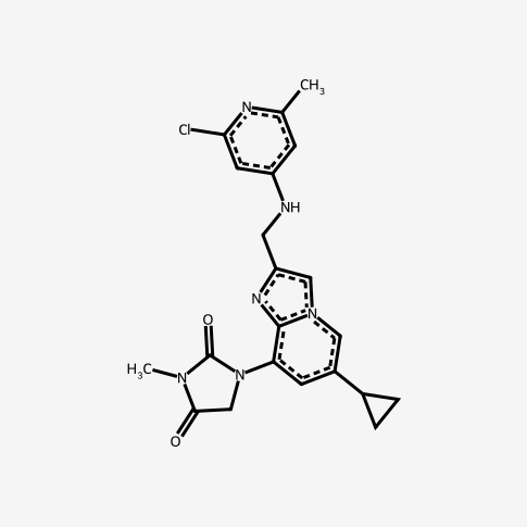 Cc1cc(NCc2cn3cc(C4CC4)cc(N4CC(=O)N(C)C4=O)c3n2)cc(Cl)n1